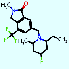 CCC1CC(F)CC(C)N1Cc1cc2c(c(C(F)(F)F)c1)CN(C)C2=O